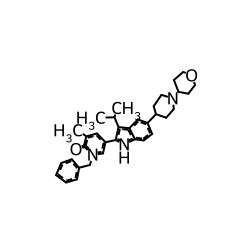 Cc1cc(-c2[nH]c3ccc(C4CCN(C5CCOCC5)CC4)cc3c2C(C)C)cn(Cc2ccccc2)c1=O